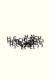 BC(C)(OC(C)CC(C)(CC)OCC(CC)(CCCC)COC(C)(CC)CC(C)OC(C)(C)CC(C)N)C(C)N